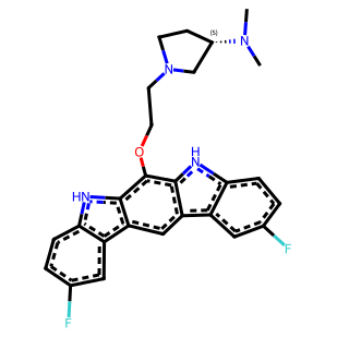 CN(C)[C@H]1CCN(CCOc2c3[nH]c4ccc(F)cc4c3cc3c2[nH]c2ccc(F)cc23)C1